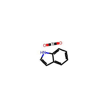 [O]=[Ti]=[O].[c]1cc2ccccc2[nH]1